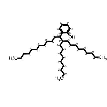 CCCCCCCCCCCC(c1ccccc1O)C(CCCCCCCCC)CCCCCCCCC